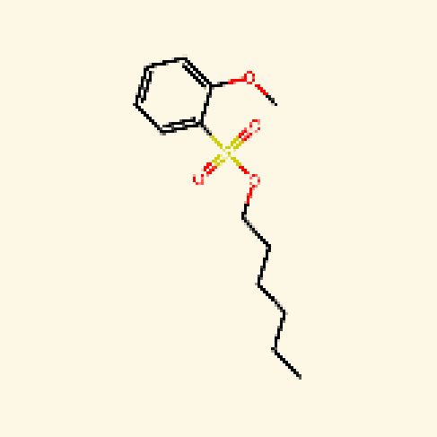 CCCCCCOS(=O)(=O)c1ccccc1OC